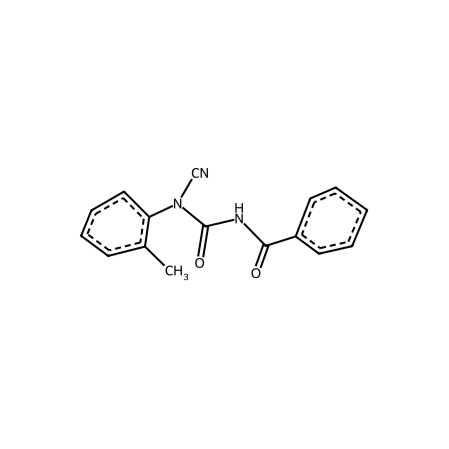 Cc1ccccc1N(C#N)C(=O)NC(=O)c1ccccc1